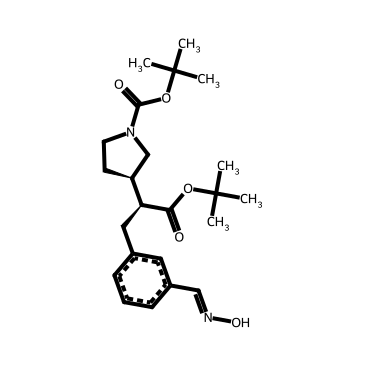 CC(C)(C)OC(=O)[C@@H](Cc1cccc(C=NO)c1)[C@H]1CCN(C(=O)OC(C)(C)C)C1